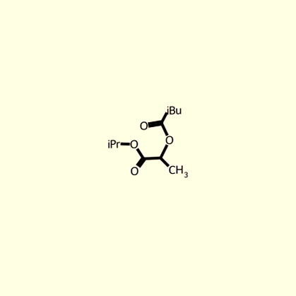 CCC(C)C(=O)OC(C)C(=O)OC(C)C